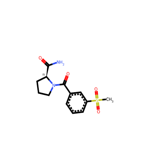 CS(=O)(=O)c1cccc(C(=O)N2CCC[C@H]2C(N)=O)c1